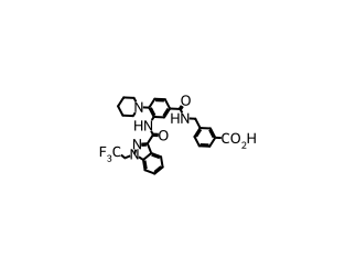 O=C(O)c1cccc(CNC(=O)c2ccc(N3CCCCC3)c(NC(=O)c3nn(CC(F)(F)F)c4ccccc34)c2)c1